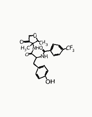 CC1OCC(=O)C1(C)NC(=O)C(Cc1ccc(O)cc1)NC(=O)c1ccc(C(F)(F)F)cc1